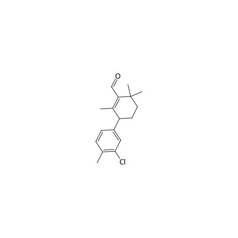 CC1=C(C=O)C(C)(C)CCC1c1ccc(C)c(Cl)c1